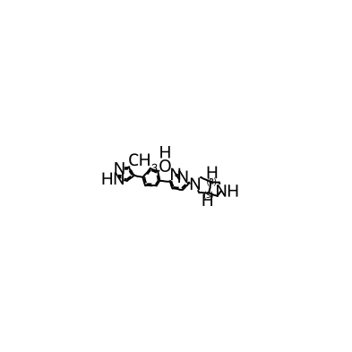 Cc1n[nH]cc1-c1ccc(-c2ccc(N3C[C@H]4CNC[C@H]4C3)nn2)c(O)c1